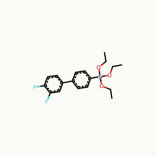 CCO[Si](OCC)(OCC)c1ccc(-c2ccc(F)c(F)c2)cc1